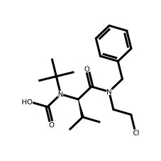 CC(C)[C@H](C(=O)N(CCCl)Cc1ccccc1)N(C(=O)O)C(C)(C)C